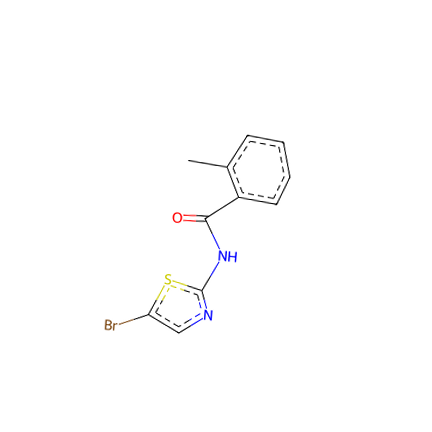 Cc1ccccc1C(=O)Nc1ncc(Br)s1